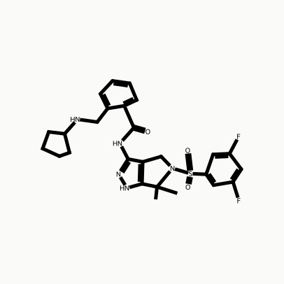 CC1(C)c2[nH]nc(NC(=O)c3ccccc3CNC3CCCC3)c2CN1S(=O)(=O)c1cc(F)cc(F)c1